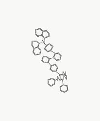 c1ccc(-c2nnc(-c3ccc(-c4ccccc4-c4ccccc4-c4ccc(N(c5cccc6ccccc56)c5cccc6ccccc56)cc4)cc3)n2-c2ccccc2)cc1